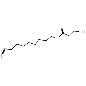 CCCCCCCC/C=C\CCCCCCCCOC(=O)CCS